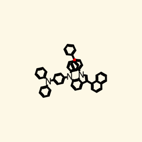 c1ccc(-c2ccc(-n3cc(-c4cccc5ccccc45)c4cccc(N(c5ccccc5)c5ccc(N(c6ccccc6)c6ccccc6)cc5)c43)cc2)cc1